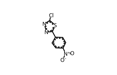 O=[N+]([O-])c1ccc(-c2nnc(Cl)s2)cc1